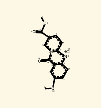 COC(=O)c1ccc2nc3ccc(OC)cc3c(=O)n2c1.Cl